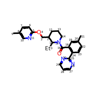 CCC1C(COc2ccc(C)cn2)CCCN1C(=O)c1cc(C)ccc1-c1ncccn1